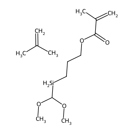 C=C(C)C.C=C(C)C(=O)OCCC[SiH2]C(OC)OC